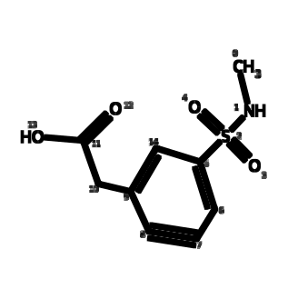 CNS(=O)(=O)c1cc#cc(CC(=O)O)c1